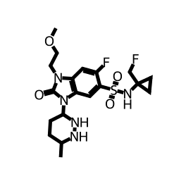 COCCn1c(=O)n(C2CCC(C)NN2)c2cc(S(=O)(=O)NC3(CF)CC3)c(F)cc21